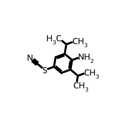 CC(C)c1cc(SC#N)cc(C(C)C)c1N